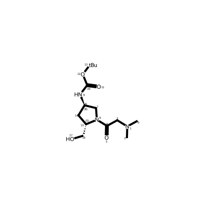 CN(C)CC(=O)N1C[C@H](NC(=O)OC(C)(C)C)C[C@H]1CO